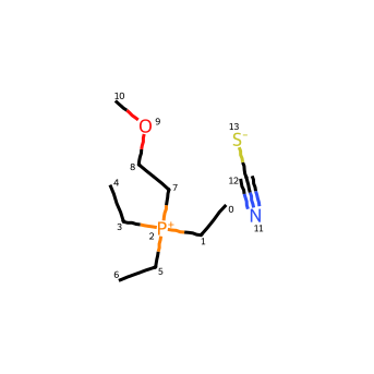 CC[P+](CC)(CC)CCOC.N#C[S-]